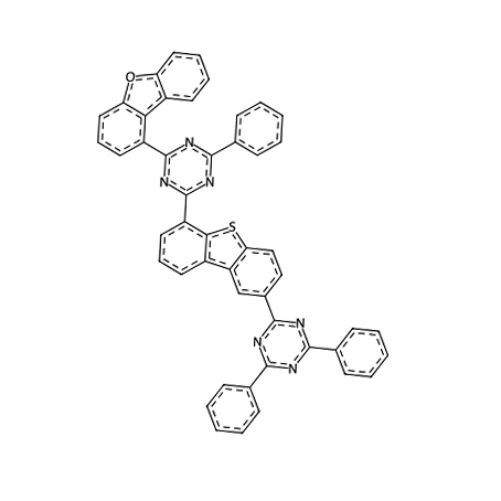 c1ccc(-c2nc(-c3ccccc3)nc(-c3ccc4sc5c(-c6nc(-c7ccccc7)nc(-c7cccc8oc9ccccc9c78)n6)cccc5c4c3)n2)cc1